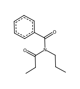 CCCN(C(=O)CC)C(=O)c1ccccc1